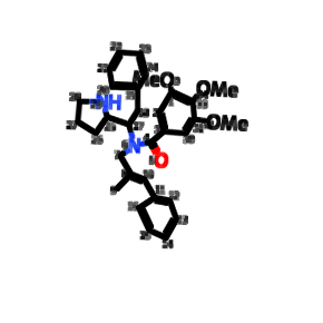 COc1cc(C(=O)N(CC(C)=Cc2ccccc2)C(Cc2ccccc2)C2CCCN2)cc(OC)c1OC